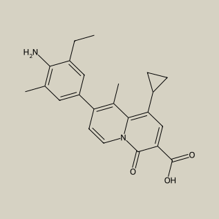 CCc1cc(-c2ccn3c(=O)c(C(=O)O)cc(C4CC4)c3c2C)cc(C)c1N